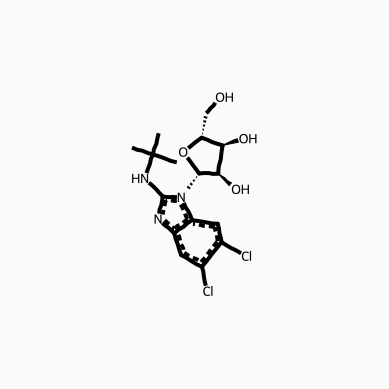 CC(C)(C)Nc1nc2cc(Cl)c(Cl)cc2n1[C@@H]1O[C@H](CO)[C@@H](O)[C@H]1O